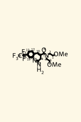 COCCN(CCOC)C(=O)C1=Cc2ccc(C(F)(F)C(F)(F)F)cc2N=C(N)C1